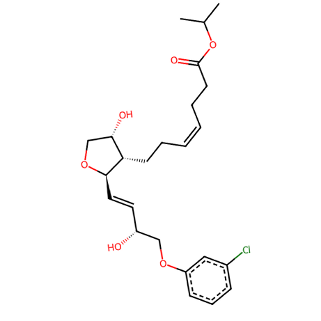 CC(C)OC(=O)CC/C=C\CC[C@H]1[C@@H](O)CO[C@@H]1/C=C/[C@@H](O)COc1cccc(Cl)c1